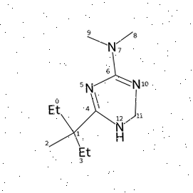 CCC(C)(CC)C1=NC(N(C)C)=NCN1